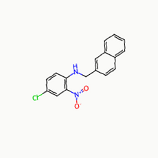 O=[N+]([O-])c1cc(Cl)ccc1NCc1ccc2ccccc2c1